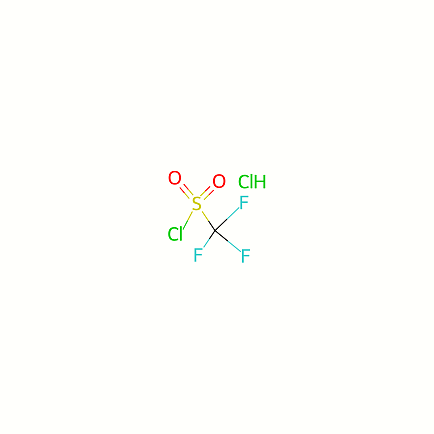 Cl.O=S(=O)(Cl)C(F)(F)F